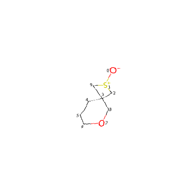 [O-][S+]1CC2(CCCOC2)C1